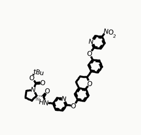 CC(C)(C)OC(=O)N1CCC[C@H]1C(=O)Nc1ccc(Oc2ccc3c(c2)CCC(c2cccc(Oc4ccc([N+](=O)[O-])cn4)c2)O3)nc1